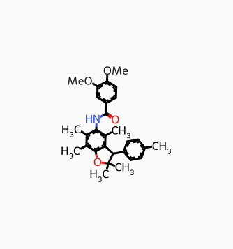 COc1ccc(C(=O)Nc2c(C)c(C)c3c(c2C)C(c2ccc(C)cc2)C(C)(C)O3)cc1OC